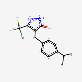 CC(C)c1ccc(Cc2c(C(F)(F)F)[nH][nH]c2=O)cc1